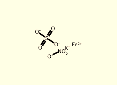 O=S(=O)([O-])[O-].O=[N+]([O-])[O-].[Fe+2].[K+]